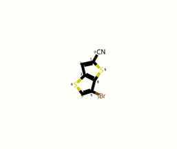 N#Cc1cc2scc(Br)c2s1